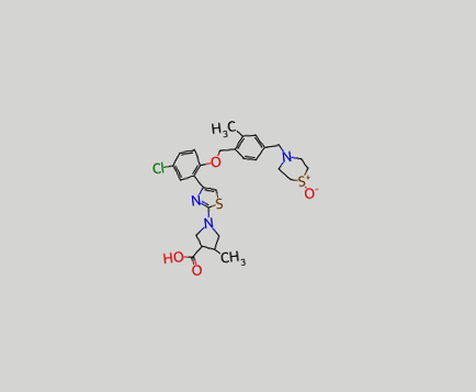 Cc1cc(CN2CC[S+]([O-])CC2)ccc1COc1ccc(Cl)cc1-c1csc(N2CC(C)C(C(=O)O)C2)n1